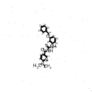 CN(C)c1ccc(C(=O)NC(=S)Nc2cccc(OCc3ccccc3)c2)cn1